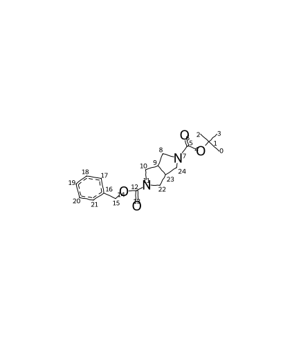 CC(C)(C)OC(=O)N1CC2CN(C(=O)OCc3ccccc3)CC2C1